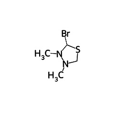 CN1CSC(Br)N1C